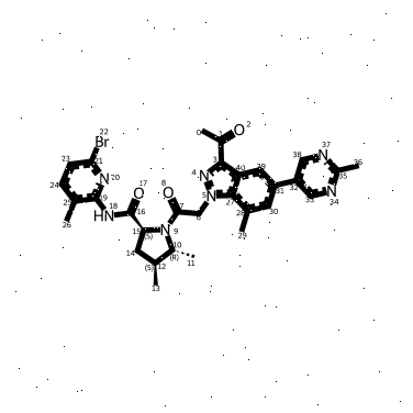 CC(=O)c1nn(CC(=O)N2[C@H](C)[C@@H](C)C[C@H]2C(=O)Nc2nc(Br)ccc2C)c2c(C)cc(-c3cnc(C)nc3)cc12